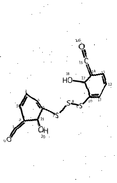 O=C=C1C=CC=C(SSSC2=CC=CC(=C=O)C2O)C1O